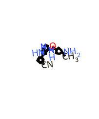 CC(N)C1CCC(C(=O)Nc2ccnc3[nH]c(-c4cccc(C#N)c4)cc23)CC1